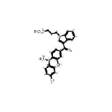 CCOC(=O)CCCn1cc(C(=O)c2ccc(N(C)c3ccc(CC)cc3)c(O)c2)c2ccccc21